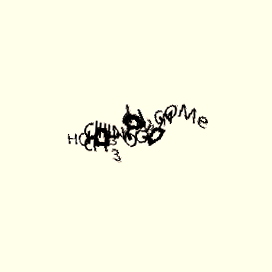 CO/N=C(\C)c1cccc(Oc2ncccc2C(=O)NCc2ccc(C(C)(C)O)cc2)c1